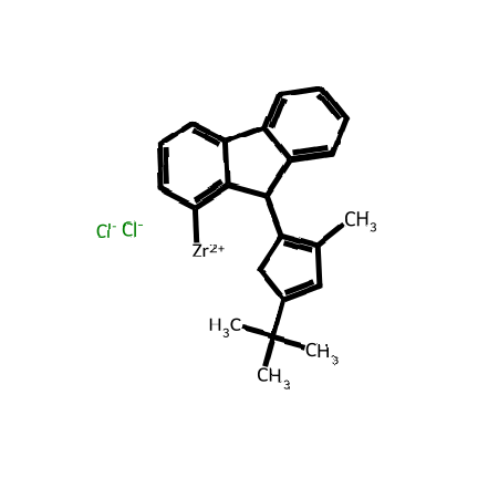 CC1=C(C2c3ccccc3-c3ccc[c]([Zr+2])c32)CC(C(C)(C)C)=C1.[Cl-].[Cl-]